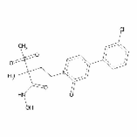 CC(CCn1ccc(-c2cccc(Cl)c2)cc1=O)(C(=O)NO)S(C)(=O)=O